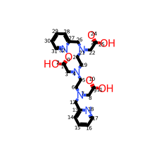 O=C(O)CN(CCN(CC(=O)O)Cc1ccccn1)CCN(CC(=O)O)Cc1ccccn1